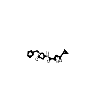 O=C(NC1CC(=O)N(Cc2ccccc2)C1)c1cc(C2CC2)on1